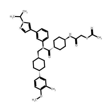 COc1ccc([C@H]2CC[C@H](CN(c3cccc(-c4cnn(C(C)C)c4)c3)C(=O)[C@H]3CC[C@H](NC(=O)COC(C)=O)CC3)CC2)cc1C